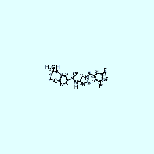 C=C1CCCc2ncc(C(=O)NC3CN(Cc4cc(F)c(F)c(F)c4)C=N3)cc2N1